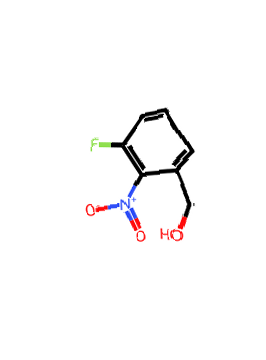 O=[N+]([O-])c1c(F)cccc1[CH]O